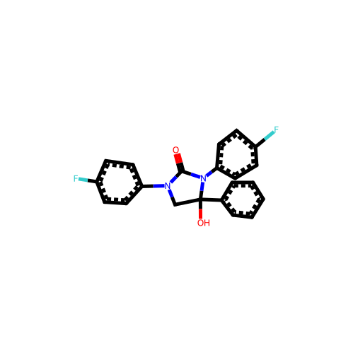 O=C1N(c2ccc(F)cc2)CC(O)(c2ccccc2)N1c1ccc(F)cc1